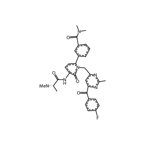 CN[C@@H](C)C(=O)Nc1ccc(-c2cccc(C(=O)N(C)C)c2)n(Cc2cc(C(=O)c3ccc(F)cc3)nc(C)n2)c1=O